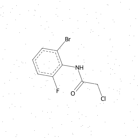 O=C(CCl)Nc1c(F)cccc1Br